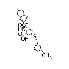 CCc1cccc(CCSc2ccc(NS(=O)(=O)c3ccc4ccccc4c3)c(C(=O)O)c2)c1